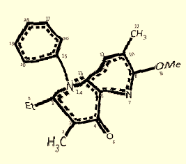 CCc1c(C)c(=O)c2nc(OC)c(C)cc2n1-c1ccccc1